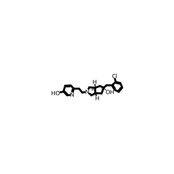 Oc1ccc(CCN2C[C@@H]3C[C@@](O)(Cc4ccccc4Cl)C[C@@H]3C2)nc1